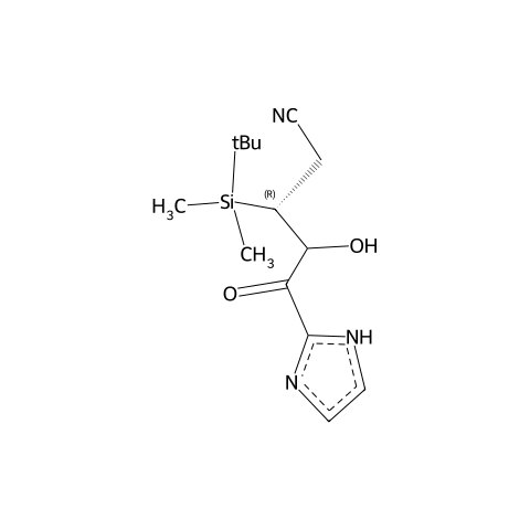 CC(C)(C)[Si](C)(C)[C@H](CC#N)C(O)C(=O)c1ncc[nH]1